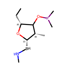 CC[C@H]1O[C@@H](BNC)[C@@H](C)C1OP(C)C